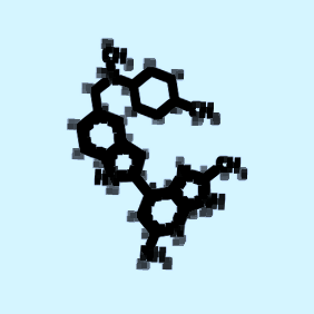 Cc1nc2c(-c3cc4cc(CN(C)C5CCC(C)CC5)ccc4[nH]3)cc(N)nc2[nH]1